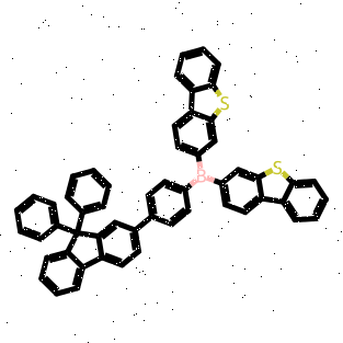 c1ccc(C2(c3ccccc3)c3ccccc3-c3ccc(-c4ccc(B(c5ccc6c(c5)sc5ccccc56)c5ccc6c(c5)sc5ccccc56)cc4)cc32)cc1